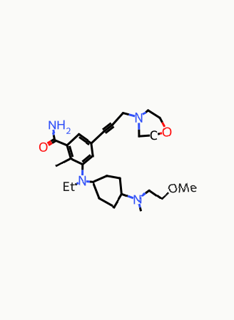 CCN(c1cc(C#CCN2CCOCC2)cc(C(N)=O)c1C)C1CCC(N(C)CCOC)CC1